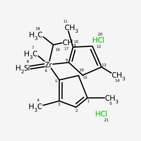 CC1=CC(C)=[C]([Zr]([CH3])(=[SiH2])([C]2=C(C)C=C(C)C2)[CH](C)C)C1.Cl.Cl